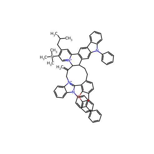 C=C1C[n+]2c(n(-c3ccc(-c4ccccc4)cc3)c3ccccc32)-c2c(ccc3c2oc2ccccc23)CCC2c3cc4c(cc3-c3cc(CC(C)C)c([Si](C)(C)C)c[n+]3C12)c1ccccc1n4-c1ccccc1